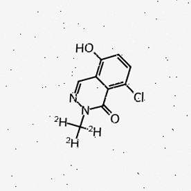 [2H]C([2H])([2H])n1ncc2c(O)ccc(Cl)c2c1=O